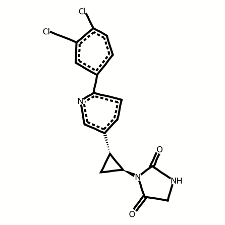 O=C1CNC(=O)N1[C@H]1C[C@@H]1c1ccc(-c2ccc(Cl)c(Cl)c2)nc1